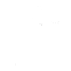 CCOC(=O)C(Cc1ccc(I)cc1)N(CCC(C)C)C(=O)OCC